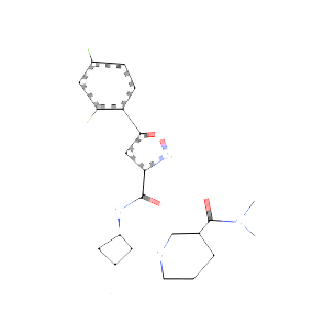 C[C@@H]1C[C@@H](NC(=O)c2cc(-c3ccc(F)cc3F)on2)[C@@H]1N1CCCC(C(=O)N(C)C)C1